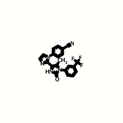 Cc1c(-c2nccn2-c2ccc(C#N)cc2)[nH]c(=O)n1-c1cccc(C(F)(F)F)c1